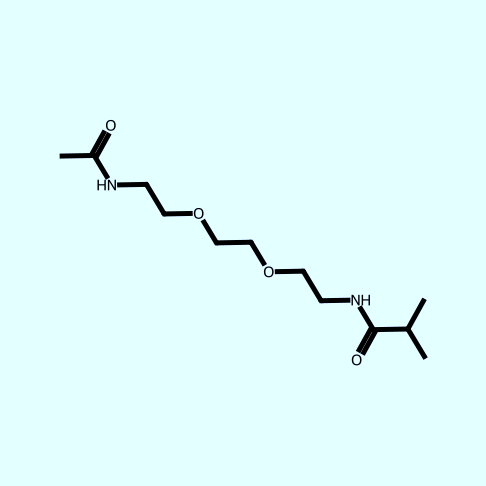 CC(=O)NCCOCCOCCNC(=O)C(C)C